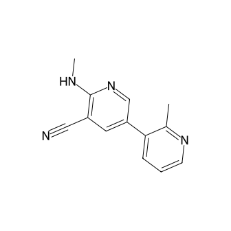 CNc1ncc(-c2cccnc2C)cc1C#N